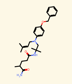 CC(C)=CCN(CC(C)(C)NC(=O)[CH]CC(C)C(N)=O)c1ccc(OCc2ccccc2)cc1